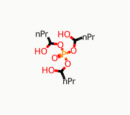 CCCC(O)OP(=O)(OC(O)CCC)OC(O)CCC